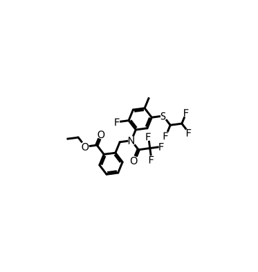 CCOC(=O)c1ccccc1CN(C(=O)C(F)(F)F)c1cc(SC(F)C(F)F)c(C)cc1F